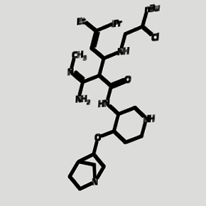 CCCCC(Cl)CNC(C=C(CC)C(C)C)C(C(=O)NC1CNCCC1OC1CN2CCC1C2)/C(N)=N\C